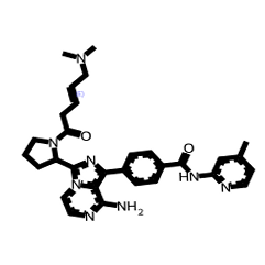 Cc1ccnc(NC(=O)c2ccc(-c3nc(C4CCCN4C(=O)C/C=C/CN(C)C)n4ccnc(N)c34)cc2)c1